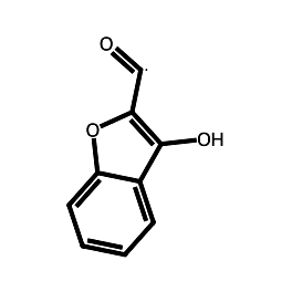 O=[C]c1oc2ccccc2c1O